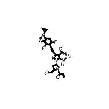 C=CC(=O)N1C[C@@H](n2nc(C#Cc3c(F)cc4c(ncn4C4CC4)c3F)c(C(N)=O)c2NC)C/C1=C\OC